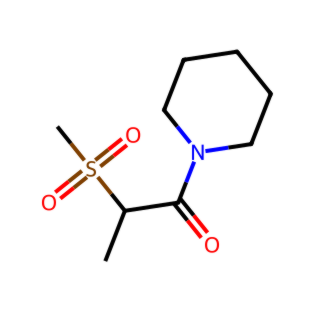 CC(C(=O)N1CCCCC1)S(C)(=O)=O